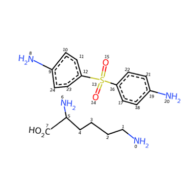 NCCCCC(N)C(=O)O.Nc1ccc(S(=O)(=O)c2ccc(N)cc2)cc1